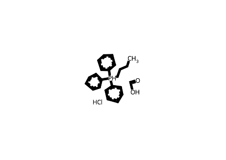 CCCC[PH](c1ccccc1)(c1ccccc1)c1ccccc1.Cl.O=CO